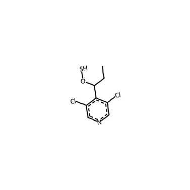 CCC(OS)c1c(Cl)cncc1Cl